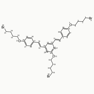 BrCCCCOc1ccc(C=Cc2cc(C=Cc3ccc(OCCCCBr)cc3)nc(OCCCCBr)n2)cc1